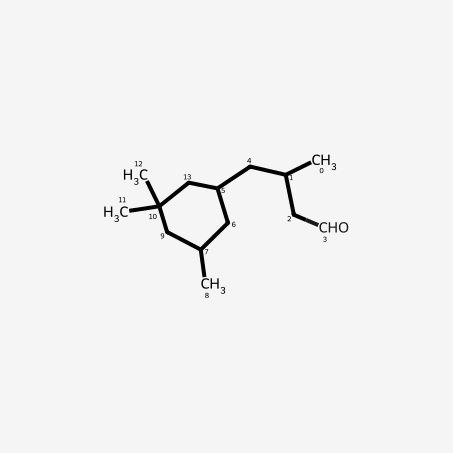 CC(CC=O)CC1CC(C)CC(C)(C)C1